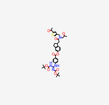 CC(=O)CN(Cc1csc(C(C)=O)c1)C(=O)CC1CCc2cc(OC(=O)c3ccc(N/C(=N\C(=O)OC(C)(C)C)NC(=O)OC(C)(C)C)cc3)ccc21